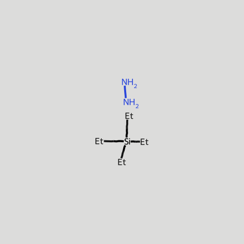 CC[Si](CC)(CC)CC.NN